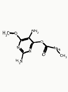 CNC(=O)Oc1nc(N)nc(OC)c1N